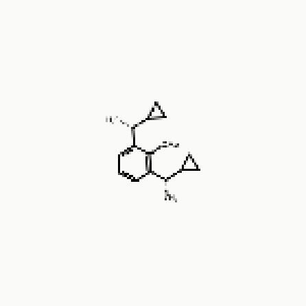 COc1c([C@@H](C)C2CC2)cccc1[C@H](C)C1CC1